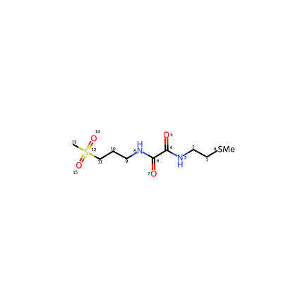 CSCCNC(=O)C(=O)NCCCS(C)(=O)=O